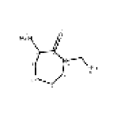 CNC1CSCCN(CC(C)(C)C)C1=O